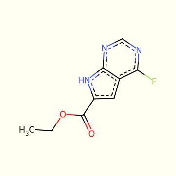 CCOC(=O)c1cc2c(F)ncnc2[nH]1